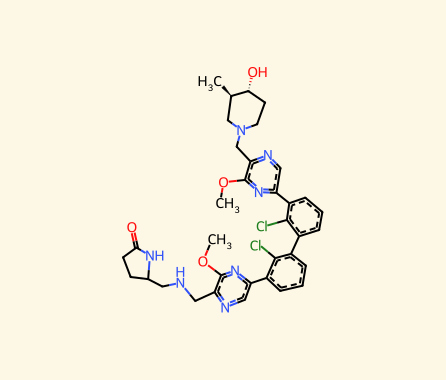 COc1nc(-c2cccc(-c3cccc(-c4cnc(CN5CC[C@@H](O)[C@H](C)C5)c(OC)n4)c3Cl)c2Cl)cnc1CNCC1CCC(=O)N1